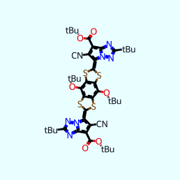 [C-]#[N+]c1c(C(=O)OC(C)(C)C)c2nc(C(C)(C)C)nn2c1=C1Sc2c(OC(C)(C)C)c3c(c(OC(C)(C)C)c2S1)SC(=c1c(C#N)c(C(=O)OC(C)(C)C)c2nc(C(C)(C)C)nn12)S3